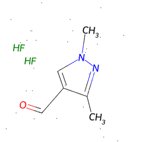 Cc1nn(C)cc1C=O.F.F